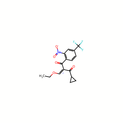 CCO/C=C(\C(=O)c1ccc(C(F)(F)F)cc1[N+](=O)[O-])C(=O)C1CC1